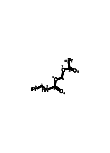 CC(C)CNC(=O)OCOC(=O)C(C)C